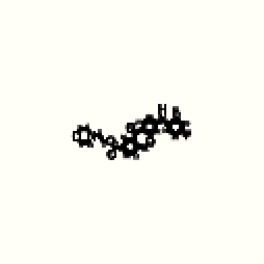 O=C(OCCN1CCOCC1)c1ccc2c(c1)C(=O)c1ccc(Nc3ccc(F)cc3F)cc1OC2